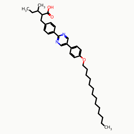 CCCCCCCCCCCCCCOc1ccc(-c2cnc(-c3ccc(CC(C(=O)O)C(C)CC)cc3)nc2)cc1